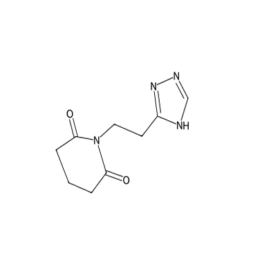 O=C1CCCC(=O)N1CCc1nnc[nH]1